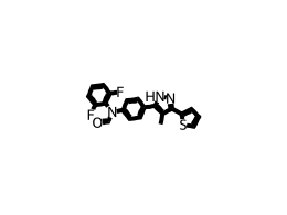 Cc1c(-c2cccs2)n[nH]c1-c1ccc(N(C=O)c2c(F)cccc2F)cc1